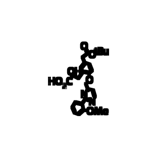 COc1ccccc1-c1nccc(COc2ccc(CC(=O)OC(C)(C)C)cc2CC(O)C(=O)O)n1